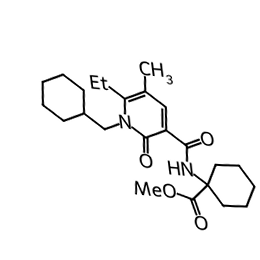 CCc1c(C)cc(C(=O)NC2(C(=O)OC)CCCCC2)c(=O)n1CC1CCCCC1